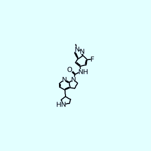 Cn1cc2cc(NC(=O)N3CCc4c(C5CCNC5)ccnc43)cc(F)c2n1